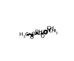 CC=CC(=O)OCC(O)COC(=O)c1ccc(N(C)C)cc1